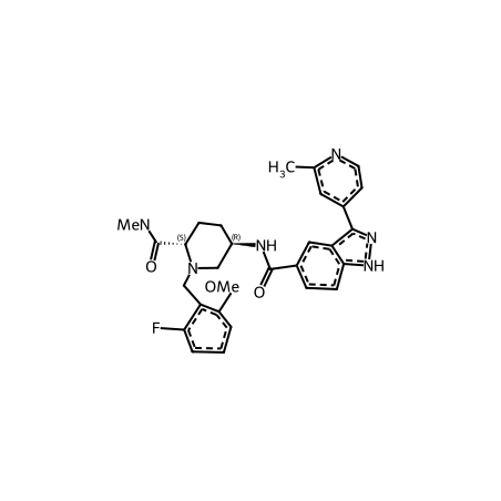 CNC(=O)[C@@H]1CC[C@@H](NC(=O)c2ccc3[nH]nc(-c4ccnc(C)c4)c3c2)CN1Cc1c(F)cccc1OC